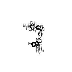 CC1(C)OB(c2cc3c(N4CCN(c5ncc([C@@](C)(N)c6ccc(F)cc6)cn5)CC4)ncnn3c2)OC1(C)C